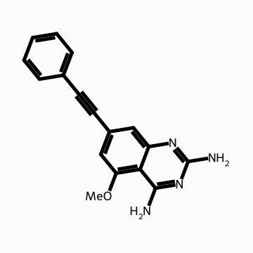 COc1cc(C#Cc2ccccc2)cc2nc(N)nc(N)c12